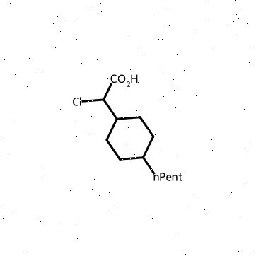 CCCCCC1CCC(C(Cl)C(=O)O)CC1